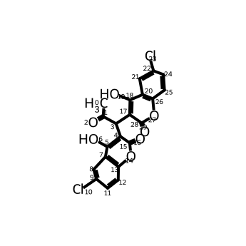 CC(=O)C(c1c(O)c2cc(Cl)ccc2oc1=O)c1c(O)c2cc(Cl)ccc2oc1=O